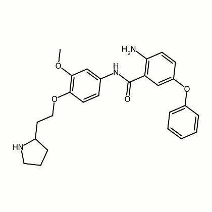 COc1cc(NC(=O)c2cc(Oc3ccccc3)ccc2N)ccc1OCCC1CCCN1